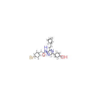 O=C(Cc1ccc(Br)cc1)Nc1ncc(-c2ccc(O)cc2)nc1CCc1ccccc1